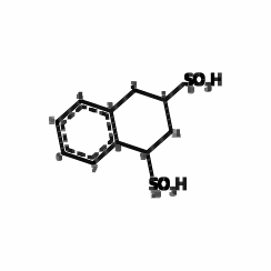 O=S(=O)(O)C1Cc2ccccc2C(S(=O)(=O)O)C1